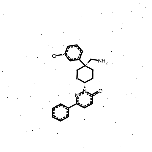 NC[C@]1(c2cccc(Cl)c2)CC[C@@H](n2nc(-c3ccccc3)ccc2=O)CC1